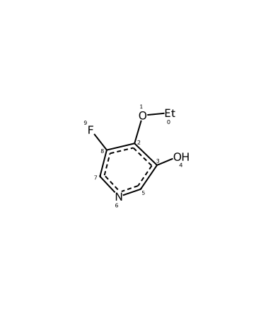 CCOc1c(O)cncc1F